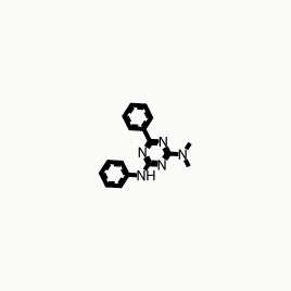 CN(C)c1nc(Nc2ccccc2)nc(-c2ccccc2)n1